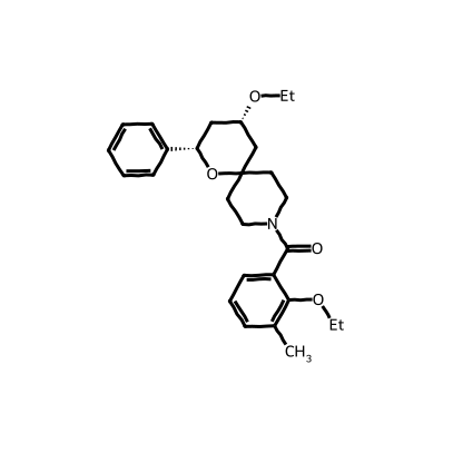 CCOc1c(C)cccc1C(=O)N1CCC2(CC1)C[C@@H](OCC)C[C@@H](c1ccccc1)O2